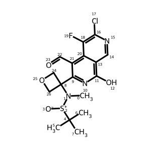 CN([S+]([O-])C(C)(C)C)C1(c2nc(O)c3cnc(Cl)c(F)c3c2C=O)COC1